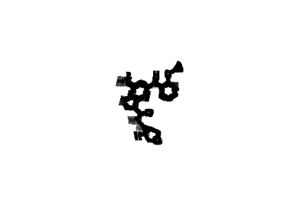 CNc1cc(Nc2cccnc2OC2CC2)nc2c(C(=O)N[C@H]3C4COC[C@@H]43)cnn12